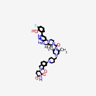 C[C@@H]1CN(CC2CCN(c3ccc4c(c3)C(=O)N(C3CCC(=O)NC3=O)C4)CC2)C[C@H](C)N1C(=O)N1CCN2c3cc(-c4cccc(F)c4O)nnc3NCC2(C)C1